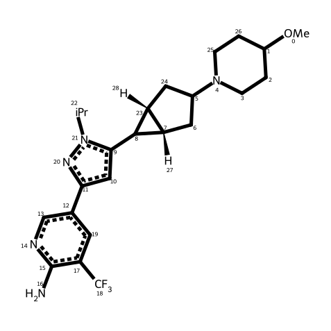 COC1CCN(C2C[C@@H]3C(c4cc(-c5cnc(N)c(C(F)(F)F)c5)nn4C(C)C)[C@@H]3C2)CC1